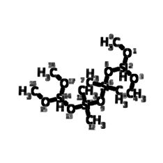 CO[SiH](OC)O[Si](C)(C)O[Si](C)(C)O[SiH](OC)OC